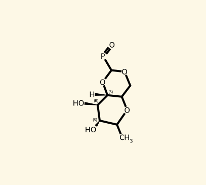 CC1OC2COC(P=O)O[C@H]2[C@H](O)[C@@H]1O